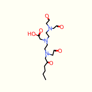 CCCCC(=O)CN(CC=O)CCN(CCN(CC=O)CC=O)CC(=O)O